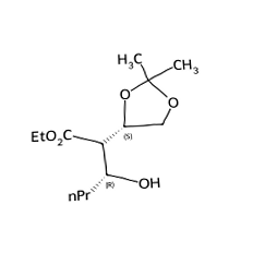 CCC[C@@H](O)C(C(=O)OCC)[C@H]1COC(C)(C)O1